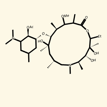 CCC1OC(=O)C(C)C(OC)[C@H](C)[C@@H](O[C@@H]2CC(C)CC(N(C)C)[C@H]2OC(C)=O)[C@](C)(O)C[C@@H](C)CN(C)[C@H](C)[C@@H](O)[C@]1(C)O